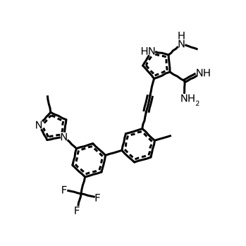 CNc1[nH]cc(C#Cc2cc(-c3cc(-n4cnc(C)c4)cc(C(F)(F)F)c3)ccc2C)c1C(=N)N